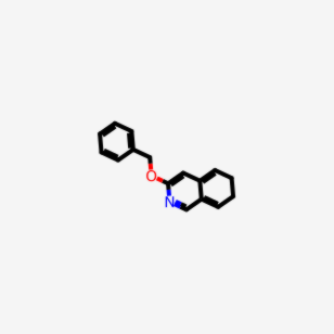 C1=c2cnc(OCc3ccccc3)cc2=CCC1